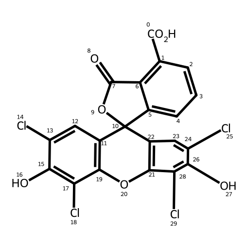 O=C(O)c1cccc2c1C(=O)OC21c2cc(Cl)c(O)c(Cl)c2Oc2c1cc(Cl)c(O)c2Cl